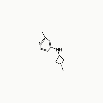 Cc1cc(NC2CN(C)C2)ccn1